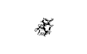 COP(=O)(OC)c1c(C)nnc2c1cnn2C